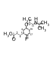 CC(=O)CCc1cc(OC(C)CNC(C)C)ccc1F